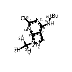 [2H]C([2H])([2H])n1ncc2c(NC(C)(C)C)nc(Cl)nc21